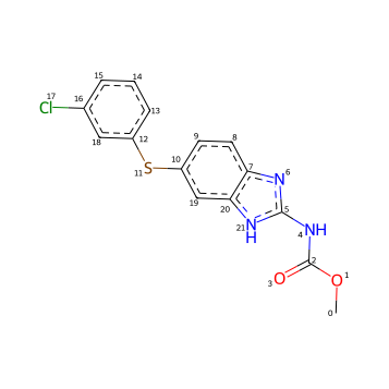 COC(=O)Nc1nc2ccc(Sc3cccc(Cl)c3)cc2[nH]1